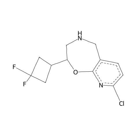 FC1(F)CC(C2CNCc3ccc(Cl)nc3O2)C1